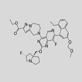 CCOC(=O)c1cc2n(n1)CCCN(c1nc(OC[C@@]34CCCN3C[C@H](F)C4)nc3c(F)c(-c4cc(OCOC)cc5cccc(CC)c45)ncc13)C2